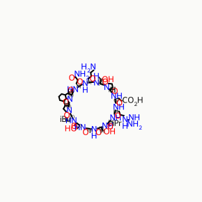 CC[C@H](C)[C@@H]1NC(=O)[C@H](CO)NC(=O)[C@H](C)NC(=O)[C@H]([C@@H](C)O)NC(=O)[C@H](C(C)C)NC(=O)[C@H](CCCNC(=N)N)NC(=O)[C@H](CCC(=O)O)NC(=O)[C@H]2CCCN2C(=O)[C@H]([C@@H](C)O)NC(=O)[C@H](CCCCN)NC(=O)[C@H](CCC(N)=O)NC(=O)[C@@H]2CC3CCCCC3N2C(=O)[C@@H]2CCCN2C1=O